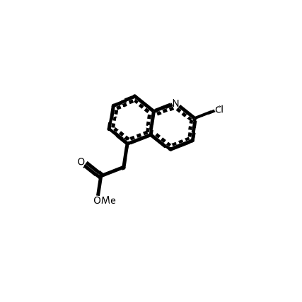 COC(=O)Cc1cccc2nc(Cl)ccc12